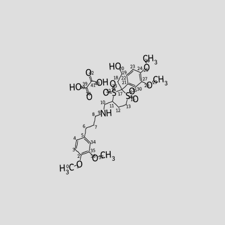 COc1ccc(CCCNCC2CCS(=O)(=O)C(CCO)(c3ccc(OC)c(OC)c3)S2(=O)=O)cc1OC.O=C(O)C(=O)O